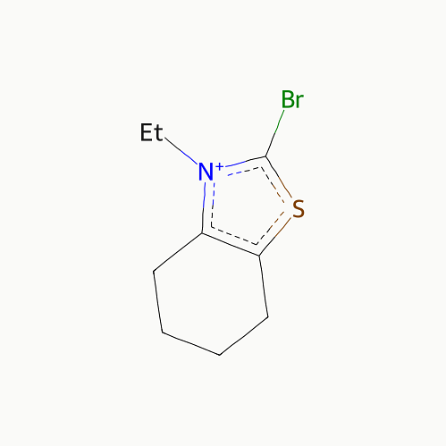 CC[n+]1c(Br)sc2c1CCCC2